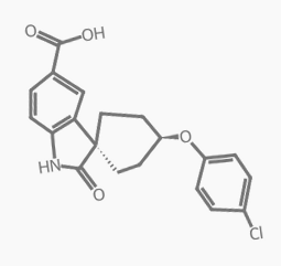 O=C(O)c1ccc2c(c1)[C@]1(CC[C@H](Oc3ccc(Cl)cc3)CC1)C(=O)N2